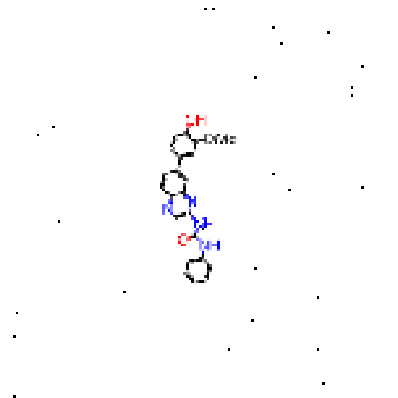 COc1cc(-c2ccc3ncc(NC(=O)Nc4ccccc4)nc3c2)ccc1O